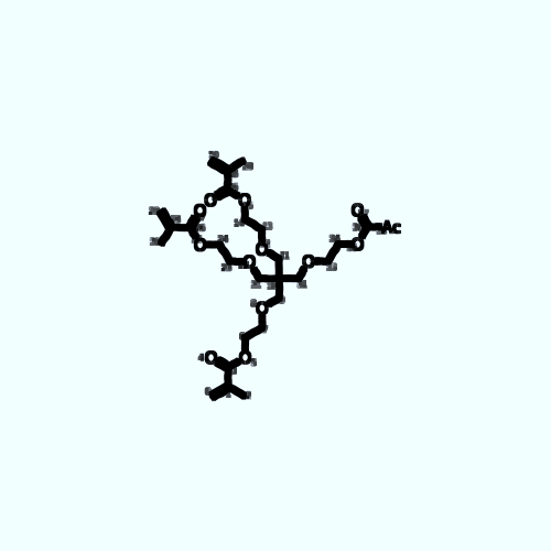 C=C(C)C(=O)OCCOCC(COCCOC(=O)C(=C)C)(COCCOC(=O)C(=C)C)COCCOC(=O)C(C)=O